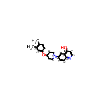 Cc1ccc(OC2CCN(c3ccc4nccc(O)c4c3)CC2)cc1C